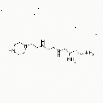 NCCC(N)CNCCNCCN1CCNCC1